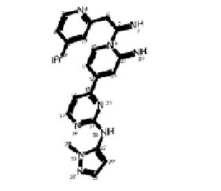 CC(C)c1ccnc(CC(=N)n2ccc(-c3ccnc(Nc4ccnn4C)n3)cc2=N)c1